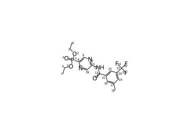 CCOP(=O)(OCC)c1cnc(NC(=O)c2cc(C)cc(C(F)(F)F)c2)cn1